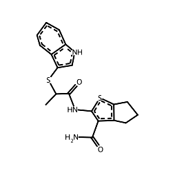 CC(Sc1c[nH]c2ccccc12)C(=O)Nc1sc2c(c1C(N)=O)CCC2